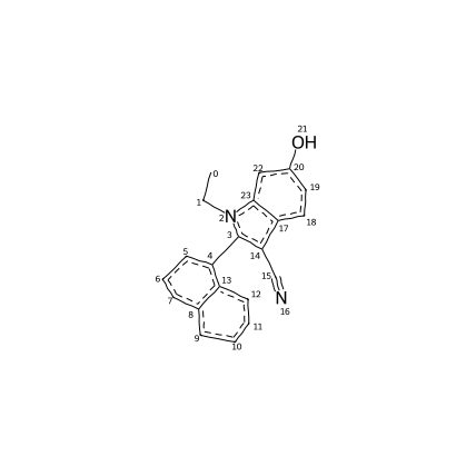 CCn1c(-c2cccc3ccccc23)c(C#N)c2ccc(O)cc21